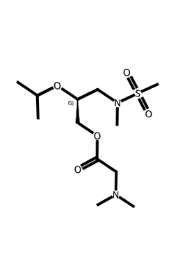 CC(C)O[C@H](COC(=O)CN(C)C)CN(C)S(C)(=O)=O